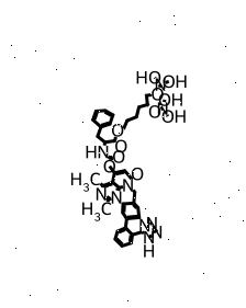 Cc1nc(C)c2c(OC(=O)NC(Cc3ccccc3)C(=O)OCCCCC(CON(O)O)ON(O)O)cc(=O)n(Cc3ccc(-c4ccccc4-c4nnn[nH]4)cc3)c2n1